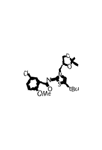 COc1ccc(Cl)cc1C(=O)/N=c1\sc(C(C)(C)C)cn1C[C@H]1COC(C)(C)O1